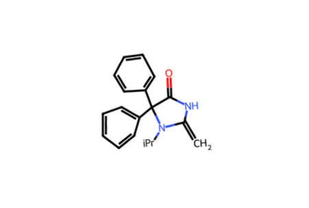 C=C1NC(=O)C(c2ccccc2)(c2ccccc2)N1C(C)C